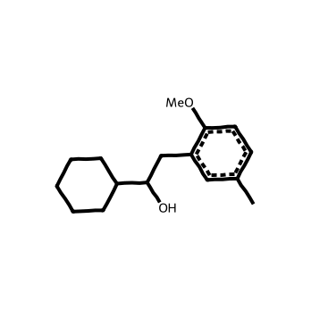 COc1ccc(C)cc1CC(O)C1CCCCC1